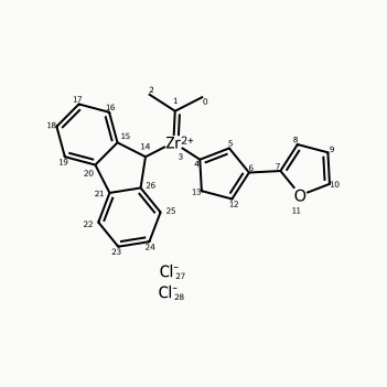 C[C](C)=[Zr+2]([C]1=CC(c2ccco2)=CC1)[CH]1c2ccccc2-c2ccccc21.[Cl-].[Cl-]